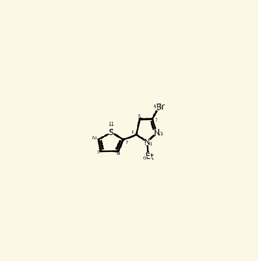 CCN1N=C(Br)CC1c1cccs1